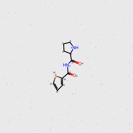 O=C(NC(=O)C1CCCN1)c1cccs1